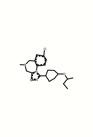 CCC(C)OC1CCC(c2nnc3n2-c2ccc(Cl)cc2CN(C)C3)CC1